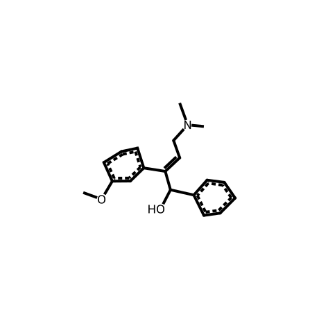 COc1cccc(/C(=C\CN(C)C)C(O)c2ccccc2)c1